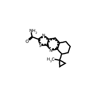 CC1(C2CCCc3cc4nc(C(N)=O)sc4nc32)CC1